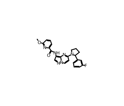 COc1cccc(C(=O)Nc2cnn3ccc(N4CCCC4c4cccc(F)c4)nc23)n1